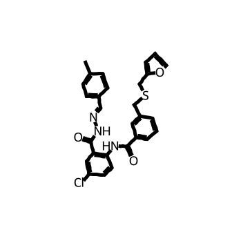 Cc1ccc(C=NNC(=O)c2cc(Cl)ccc2NC(=O)c2cccc(CSCc3ccco3)c2)cc1